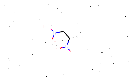 C[C@@H](CN(O)O)N(O)O